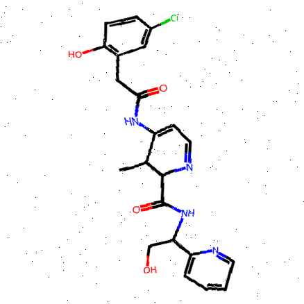 CC1C(NC(=O)Cc2cc(Cl)ccc2O)=CC=NC1C(=O)NC(CO)c1ccccn1